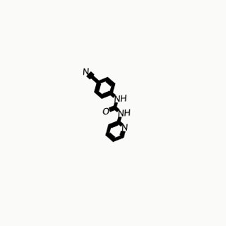 N#Cc1ccc(NC(=O)Nc2ccccn2)cc1